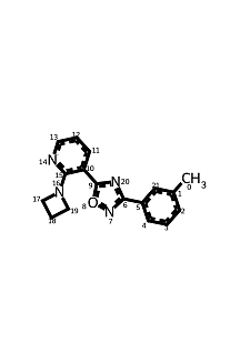 Cc1cccc(-c2noc(-c3cccnc3N3CCC3)n2)c1